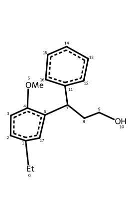 CCc1ccc(OC)c(C(CCO)c2ccccc2)c1